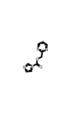 O=C(OCc1ncccn1)n1ccnc1